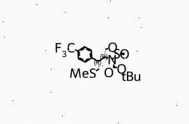 CSC[C@H](c1ccc(C(F)(F)F)cc1)[C@@H]1COS(=O)N1C(=O)OC(C)(C)C